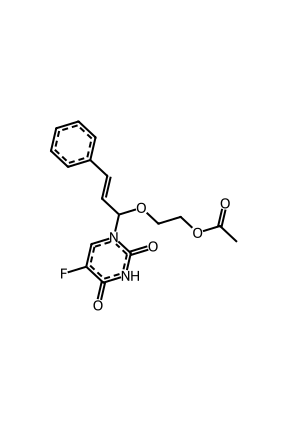 CC(=O)OCCOC(C=Cc1ccccc1)n1cc(F)c(=O)[nH]c1=O